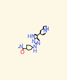 CN(C)C(=O)C1CCC(Nc2ncc3c(-c4ccn5nccc5c4)c[nH]c3n2)CC1